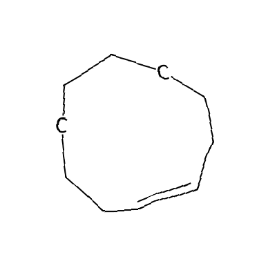 C1=C\CCCCCCCC/1